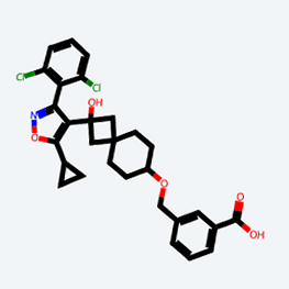 O=C(O)c1cccc(COC2CCC3(CC2)CC(O)(c2c(-c4c(Cl)cccc4Cl)noc2C2CC2)C3)c1